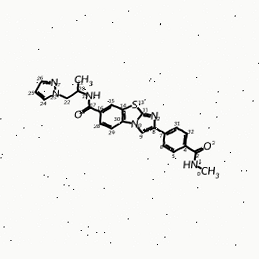 CNC(=O)c1ccc(-c2cn3c(n2)sc2cc(C(=O)NC(C)Cn4cccn4)ccc23)cc1